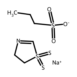 CCCS(=O)(=O)[O-].S=S1(=S)C=NCC1.[Na+]